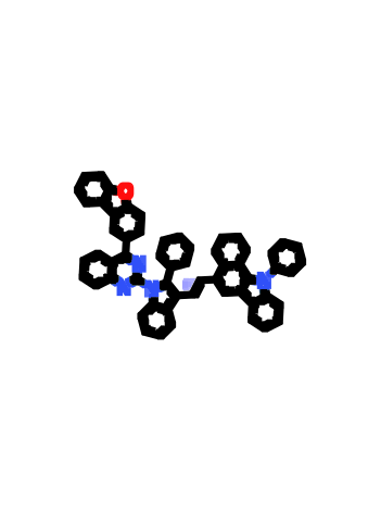 C(=C\c1c(-c2ccccc2)n(-c2nc(-c3ccc4oc5ccccc5c4c3)c3ccccc3n2)c2ccccc12)/c1cc2c3ccccc3n(-c3ccccc3)c2c2ccccc12